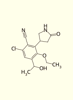 CCOc1c(C(C)O)cc(Cl)c(C#N)c1C1CNC(=O)C1